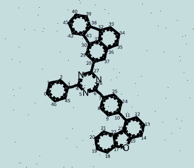 c1ccc(-c2nc(-c3ccc(-c4cccc5oc6ccccc6c45)cc3)nc(-c3cc4c5c(cccc5c3)-c3ccccc3-4)n2)cc1